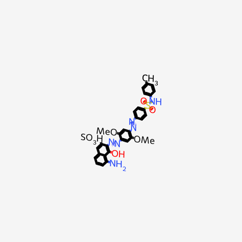 COc1cc(/N=N/c2c(S(=O)(=O)O)cc3cccc(N)c3c2O)c(OC)cc1/N=N/c1ccc(S(=O)(=O)Nc2ccc(C)cc2)cc1